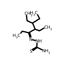 CCC(=NNC(N)=S)C(CC)C(CC)CC